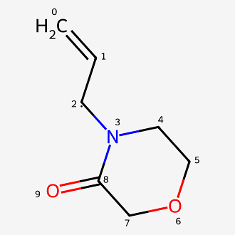 C=C[CH]N1CCOCC1=O